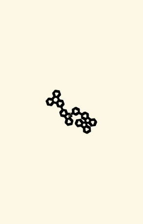 c1cc(-c2ccc3c(c2)C2(c4ccccc4-c4ccccc42)c2ccccc2-3)cc(-n2c3ccccc3c3ccc(-c4ccc5c6ccccc6c6ccccc6c5c4)cc32)c1